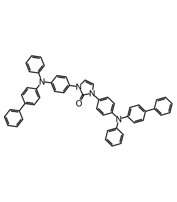 O=c1n(-c2ccc(N(c3ccccc3)c3ccc(-c4ccccc4)cc3)cc2)ccn1-c1ccc(N(c2ccccc2)c2ccc(-c3ccccc3)cc2)cc1